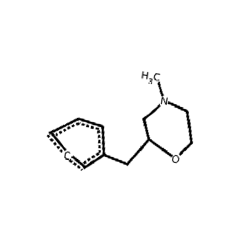 CN1CCOC(Cc2ccccc2)C1